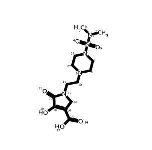 CN(C)S(=O)(=O)N1CCN(CCN2CC(C(=O)O)=C(O)C2=O)CC1